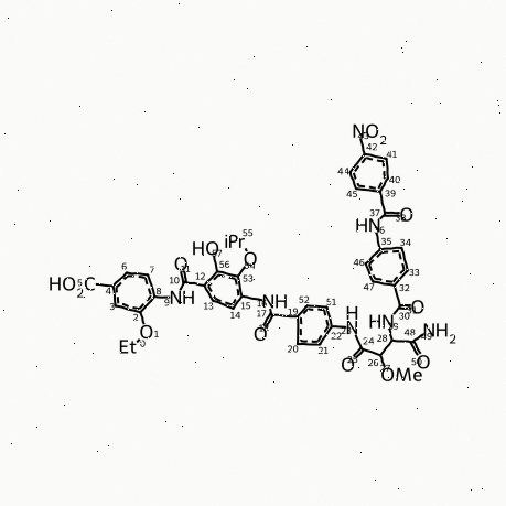 CCOc1cc(C(=O)O)ccc1NC(=O)c1ccc(NC(=O)c2ccc(NC(=O)C(OC)C(NC(=O)c3ccc(NC(=O)c4ccc([N+](=O)[O-])cc4)cc3)C(N)=O)cc2)c(OC(C)C)c1O